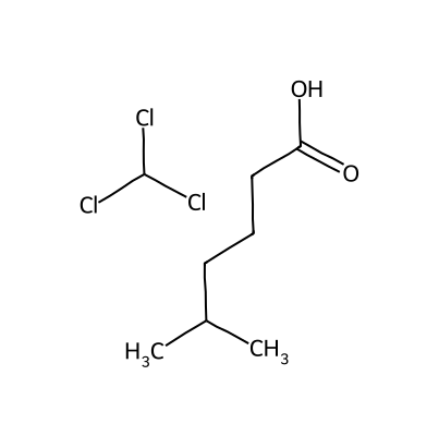 CC(C)CCCC(=O)O.ClC(Cl)Cl